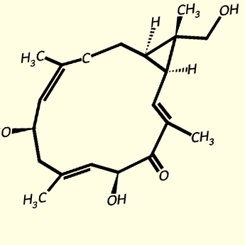 C/C1=C/[C@H](O)C/C(C)=C/[C@H](O)C(=O)/C(C)=C/[C@H]2[C@@H](CC1)[C@]2(C)CO